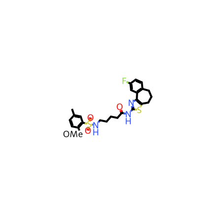 COc1ccc(C)cc1S(=O)(=O)NCCCCC(=O)Nc1nc2c(s1)CCCc1ccc(F)cc1-2